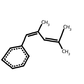 CC(C)=CC(C)=Cc1ccccc1